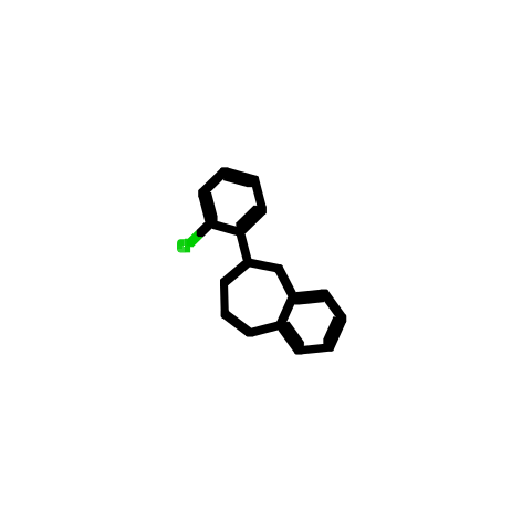 Clc1ccccc1C1CCCc2ccccc2C1